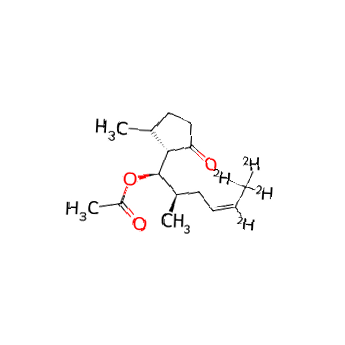 [2H]C(=CC[C@@H](C)[C@@H](OC(C)=O)[C@H]1C(=O)CCC1C)C([2H])([2H])[2H]